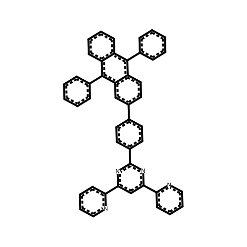 c1ccc(-c2c3ccccc3c(-c3ccccc3)c3cc(-c4ccc(-c5nc(-c6ccccn6)cc(-c6ccccn6)n5)cc4)ccc23)cc1